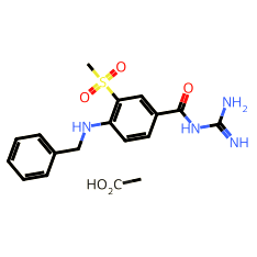 CC(=O)O.CS(=O)(=O)c1cc(C(=O)NC(=N)N)ccc1NCc1ccccc1